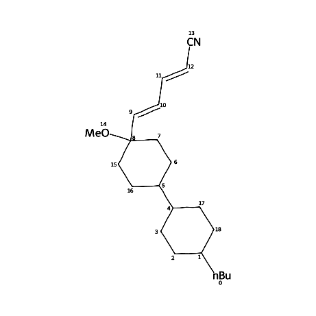 CCCCC1CCC(C2CCC(C=CC=CC#N)(OC)CC2)CC1